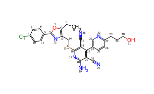 CCc1oc(-c2ccc(Cl)cc2)nc1CSc1nc(N)c(C#N)c(-c2ccc(CCCO)nc2)c1C#N